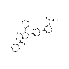 O=C(O)c1cccc(-c2ccc(C3CN(S(=O)(=O)c4ccccc4)C(=O)N3c3ccccc3)cc2)c1